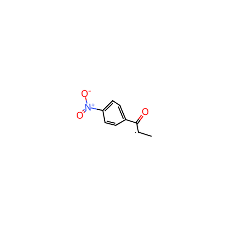 C[CH]C(=O)c1ccc([N+](=O)[O-])cc1